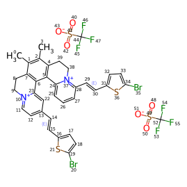 Cc1c(C)c2c(c3c1CC[n+]1ccc(/C=C/c4ccc(Br)s4)cc1-3)-c1cccc(/C=C/c3ccc(Br)s3)[n+]1CC2.O=S(=O)([O-])C(F)(F)F.O=S(=O)([O-])C(F)(F)F